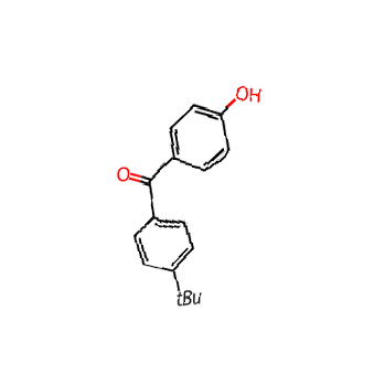 CC(C)(C)c1ccc(C(=O)c2ccc(O)cc2)cc1